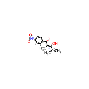 C/C(C(=O)c1ccc([N+](=O)[O-])cc1)=C(/O)C(C)C